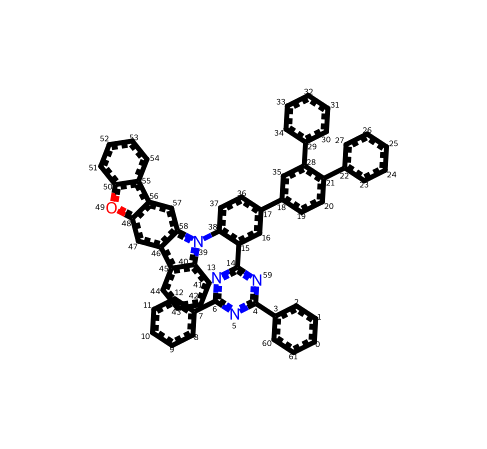 c1ccc(-c2nc(-c3ccccc3)nc(-c3cc(-c4ccc(-c5ccccc5)c(-c5ccccc5)c4)ccc3-n3c4ccccc4c4cc5oc6ccccc6c5cc43)n2)cc1